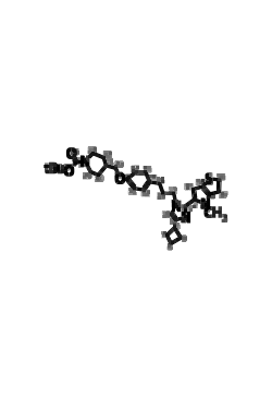 Cn1c(-c2nc(C3CCC3)cn2CCCc2ccc(OCC3CCN(C(=O)OC(C)(C)C)CC3)cc2)cc2sccc21